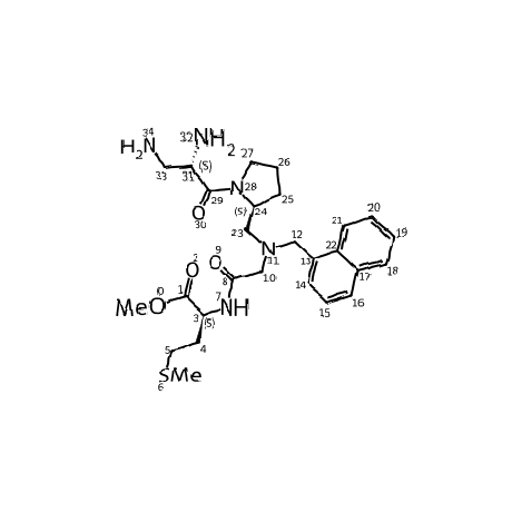 COC(=O)[C@H](CCSC)NC(=O)CN(Cc1cccc2ccccc12)C[C@@H]1CCCN1C(=O)[C@@H](N)CN